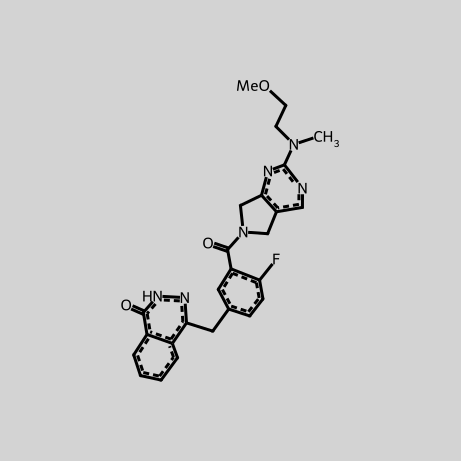 COCCN(C)c1ncc2c(n1)CN(C(=O)c1cc(Cc3n[nH]c(=O)c4ccccc34)ccc1F)C2